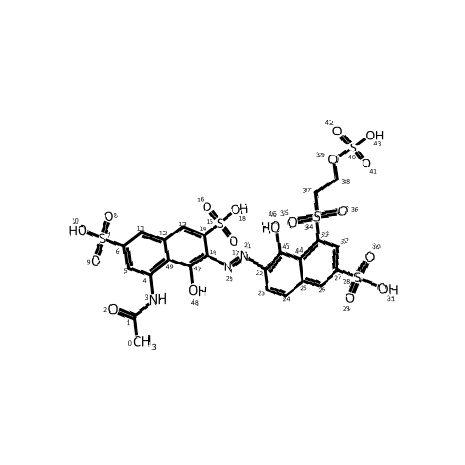 CC(=O)Nc1cc(S(=O)(=O)O)cc2cc(S(=O)(=O)O)c(/N=N/c3ccc4cc(S(=O)(=O)O)cc(S(=O)(=O)CCOS(=O)(=O)O)c4c3O)c(O)c12